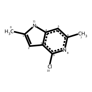 CC1=Cc2c(cc(C)nc2Cl)[N]1